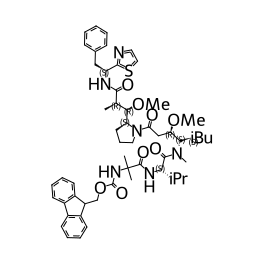 CC[C@H](C)[C@@H]([C@@H](CC(=O)N1CCC[C@H]1[C@H](OC)[C@@H](C)C(=O)N[C@@H](Cc1ccccc1)c1nccs1)OC)N(C)C(=O)[C@@H](NC(=O)C(C)(C)NC(=O)OCC1c2ccccc2-c2ccccc21)C(C)C